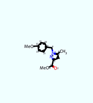 COC(=O)c1cc(C)n(Cc2ccc(OC)cc2)n1